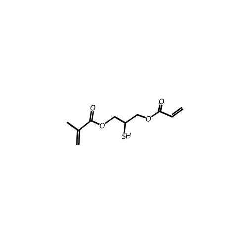 C=CC(=O)OCC(S)COC(=O)C(=C)C